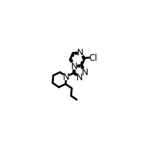 CCCC1CCCCN1c1nnc2c(Cl)nccn12